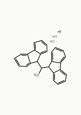 CC(C1c2ccccc2-c2ccccc21)C1c2ccccc2-c2ccccc21.Cl.Cl.[Hf]